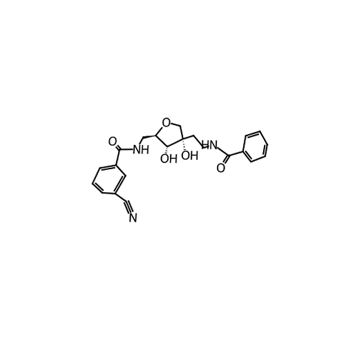 N#Cc1cccc(C(=O)NC[C@H]2OC[C@@](O)(CCNC(=O)c3ccccc3)[C@@H]2O)c1